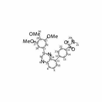 COc1cc(-c2cnc3cccc(-c4ccc(S(=O)(=O)N(C)C)cc4)c3n2)cc(OC)c1OC